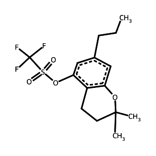 CCCc1cc2c(c(OS(=O)(=O)C(F)(F)F)c1)CCC(C)(C)O2